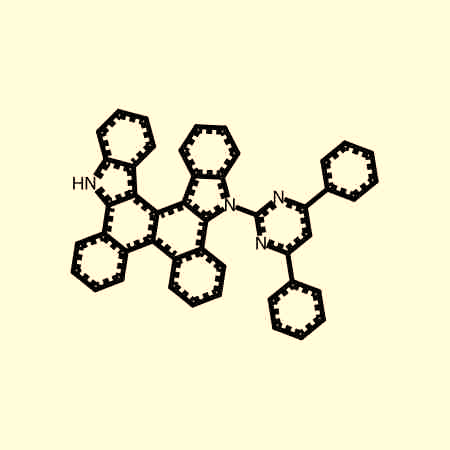 c1ccc(-c2cc(-c3ccccc3)nc(-n3c4ccccc4c4c5c(c6ccccc6c6[nH]c7ccccc7c65)c5ccccc5c43)n2)cc1